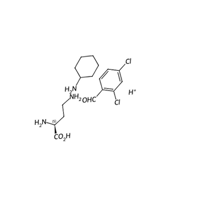 NC1CCCCC1.NCC[C@H](N)C(=O)O.O=Cc1ccc(Cl)cc1Cl.[H+]